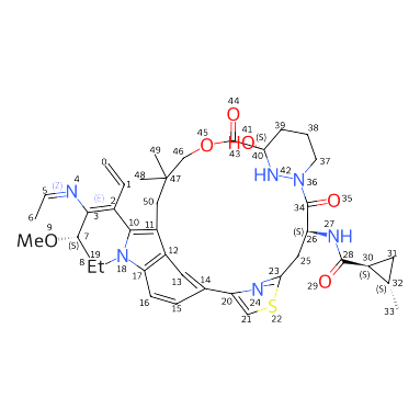 C=C/C(=C(\N=C/C)[C@H](C)OC)c1c2c3cc(ccc3n1CC)-c1csc(n1)C[C@H](NC(=O)[C@H]1C[C@@H]1C)C(=O)N1CCC[C@@](O)(N1)C(=O)OCC(C)(C)C2